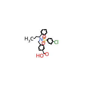 CCCC(c1ccccc1)N(Cc1ccc(C(=O)O)cc1)S(=O)(=O)c1ccc(Cl)cc1